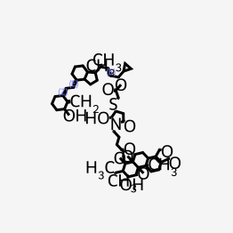 C=C1/C(=C\C=C2/CCCC3(C)C2CCC3C(C)/C=C/C(OC(=O)CSC2CC(=O)N(CCCC(=O)OC3C(C(C)C)C(O)C4OC45C4(C)CCC6=C(COC6=O)C4CC4OC435)C2O)C2CC2)CCCC1O